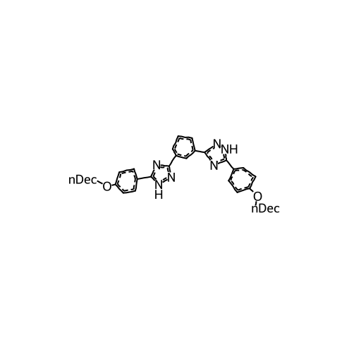 CCCCCCCCCCOc1ccc(-c2nc(-c3cccc(-c4n[nH]c(-c5ccc(OCCCCCCCCCC)cc5)n4)c3)n[nH]2)cc1